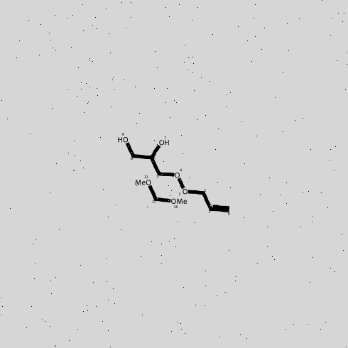 C=CCOOCC(O)CO.COCOC